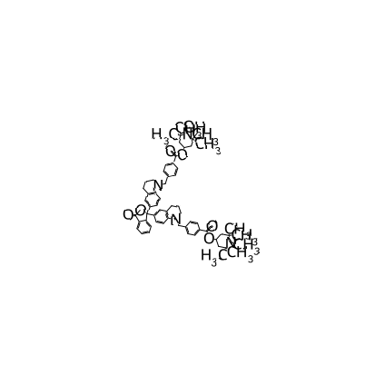 CN1C(C)(C)CC(OC(=O)c2ccc(CN3CCCc4cc(C5(c6ccc7c(c6)CCCN7Cc6ccc(C(=O)OC7CC(C)(C)N(O)C(C)(C)C7)cc6)OC(=O)c6ccccc65)ccc43)cc2)CC1(C)C